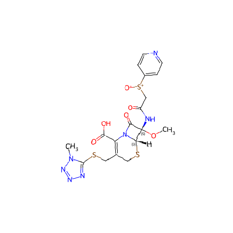 CO[C@@]1(NC(=O)C[S+]([O-])c2ccncc2)C(=O)N2C(C(=O)O)=C(CSc3nnnn3C)CS[C@H]21